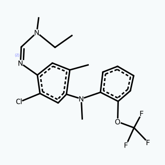 CCN(C)/C=N\c1cc(C)c(N(C)c2ccccc2OC(F)(F)F)cc1Cl